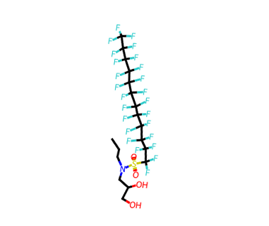 CCCN(CC(O)CO)S(=O)(=O)C(F)(F)C(F)(F)C(F)(F)C(F)(F)C(F)(F)C(F)(F)C(F)(F)C(F)(F)C(F)(F)C(F)(F)C(F)(F)C(F)(F)F